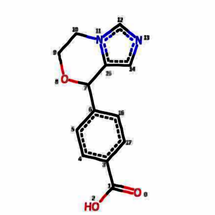 O=C(O)c1ccc(C2OCCn3cncc32)cc1